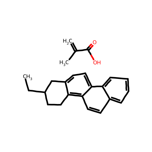 C=C(C)C(=O)O.CCC1CCc2c(ccc3c2ccc2ccccc23)C1